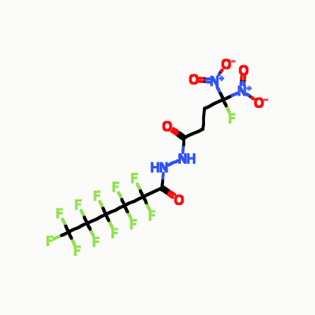 O=C(CCC(F)([N+](=O)[O-])[N+](=O)[O-])NNC(=O)C(F)(F)C(F)(F)C(F)(F)C(F)(F)C(F)(F)F